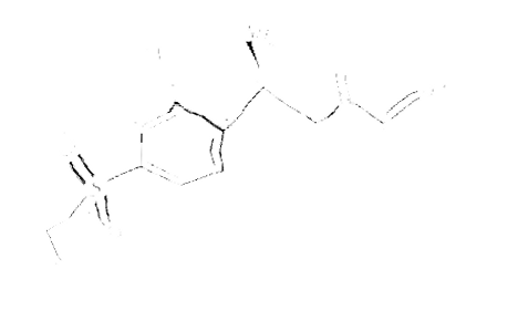 CCS(=O)(=O)c1ccc([C@@H](N)CNC=O)cc1.Cl